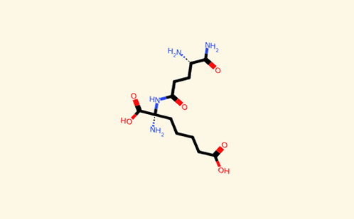 NC(=O)[C@@H](N)CCC(=O)N[C@@](N)(CCCCC(=O)O)C(=O)O